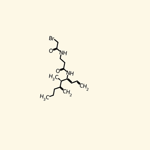 C=C/C=C(\NC(=O)CCNC(=O)CBr)[C@H](C)C(=C)CCC